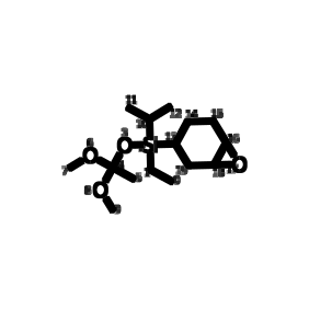 CC[Si](OC(C)(OC)OC)(C(C)C)C1CCC2OC2C1